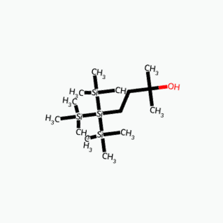 CC(C)(O)CC[Si]([Si](C)(C)C)([Si](C)(C)C)[Si](C)(C)C